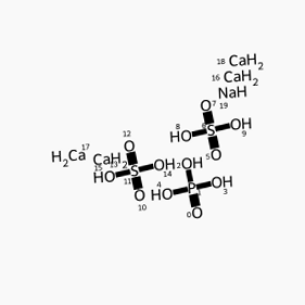 O=P(O)(O)O.O=S(=O)(O)O.O=S(=O)(O)O.[CaH2].[CaH2].[CaH2].[CaH2].[NaH]